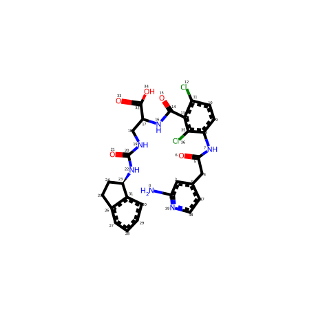 Nc1cc(CC(=O)Nc2ccc(Cl)c(C(=O)NC(CNC(=O)N[C@@H]3CCc4ccccc43)C(=O)O)c2Cl)ccn1